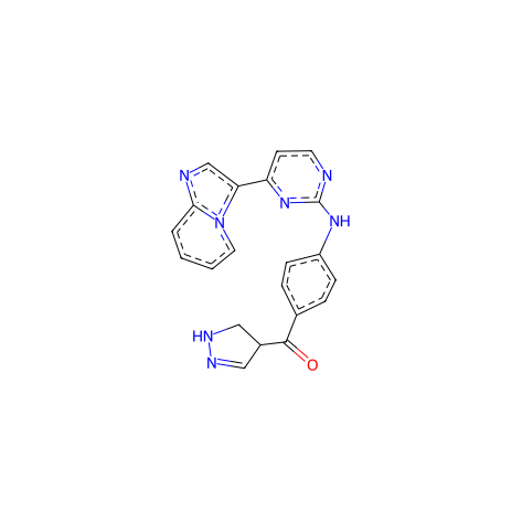 O=C(c1ccc(Nc2nccc(-c3cnc4ccccn34)n2)cc1)C1C=NNC1